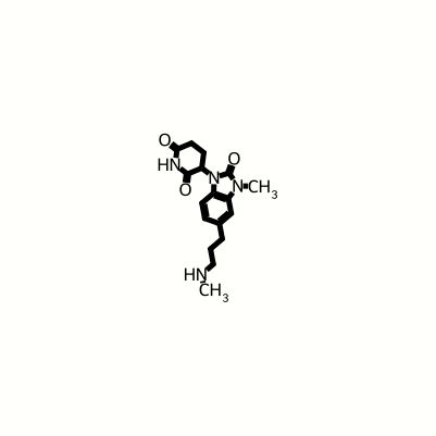 CNCCCc1ccc2c(c1)n(C)c(=O)n2C1CCC(=O)NC1=O